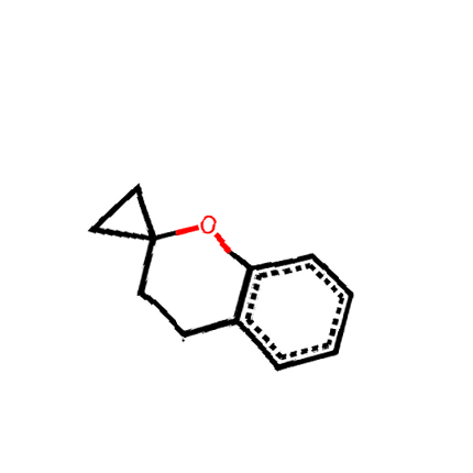 [CH]1CC2(CC2)Oc2ccccc21